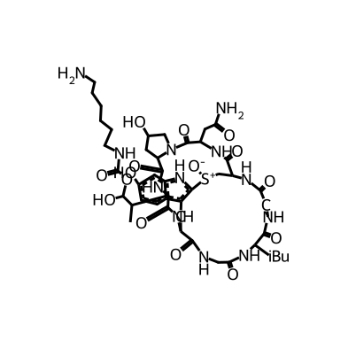 CCC(C)C1NC(=O)CNC(=O)C2Cc3c([nH]c4cc(O)ccc34)[S+]([O-])CC(NC(=O)CNC1=O)C(=O)NC(CC(N)=O)C(=O)N1CC(O)CC1C(=O)NC(C(C)C(O)OC(=O)NCCCCCCN)C(=O)N2